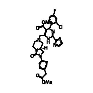 COC(=O)Cc1ccc(N2C[C@@H]3CN(CC4=C(C(=O)OC)C(c5ccc(F)cc5Cl)N=C(c5nccs5)N4)CCN3C2=O)cc1